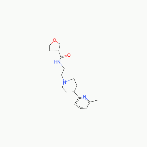 Cc1cccc(C2CCN(CCNC(=O)C3CCOC3)CC2)n1